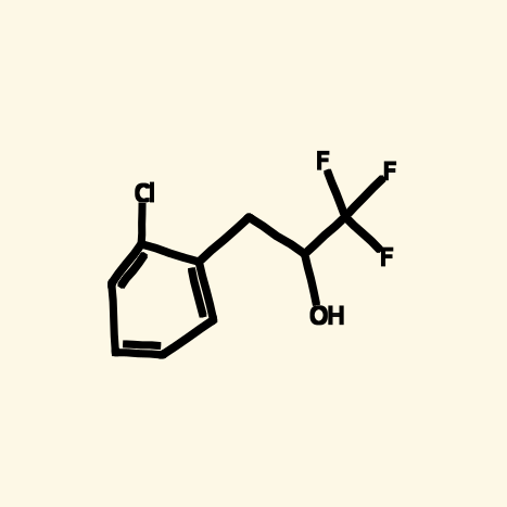 OC(Cc1ccccc1Cl)C(F)(F)F